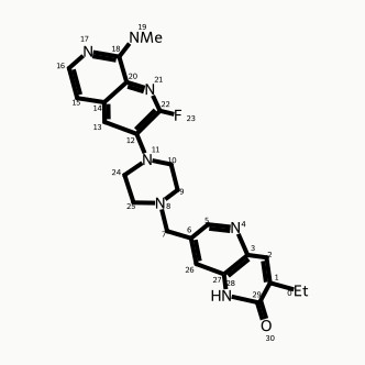 CCc1cc2ncc(CN3CCN(c4cc5ccnc(NC)c5nc4F)CC3)cc2[nH]c1=O